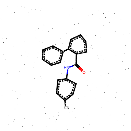 N#Cc1ccc(NC(=O)c2ccccc2-c2ccccc2)cc1